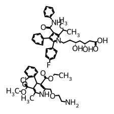 CC(C)c1c(C(=O)Nc2ccccc2)c(-c2ccccc2)c(-c2ccc(F)cc2)n1CC[C@@H](O)C[C@@H](O)CC(=O)O.CCOC(=O)C1=C(COCCN)NC(C)=C(C(=O)OC)C1c1ccccc1Cl